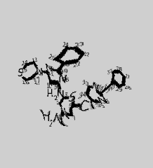 NN1CCSC(Cl)C1.Nc1cc(N2CCSCC2)nc(-c2ccccc2)n1.c1ccc(-c2ncccn2)cc1